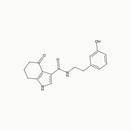 O=C(NCCc1cccc(O)c1)c1c[nH]c2c1C(=O)CCC2